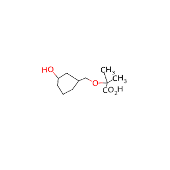 CC(C)(OCC1CCCC(O)C1)C(=O)O